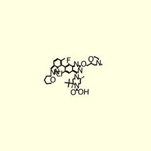 Cc1ccc2cn(C3CCCCO3)nc2c1-c1c(Cl)cc2c(N3C[C@@](C)(C(C)(C)C)N(C(=O)O)C[C@@H]3C)nc(OCC3CN(C)CCO3)nc2c1F